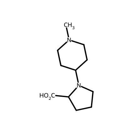 CN1CCC(N2CCCC2C(=O)O)CC1